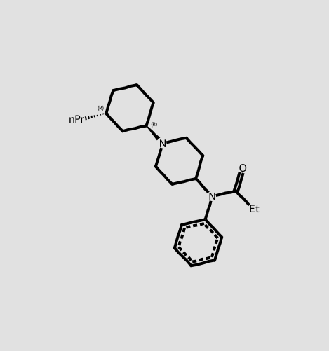 CCC[C@@H]1CCC[C@@H](N2CCC(N(C(=O)CC)c3ccccc3)CC2)C1